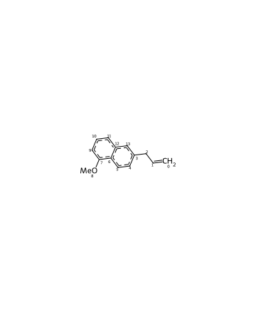 C=CCc1ccc2c(OC)cccc2c1